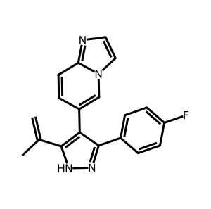 C=C(C)c1[nH]nc(-c2ccc(F)cc2)c1-c1ccc2nccn2c1